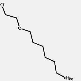 CCCCCCCCCCCCOCCCl